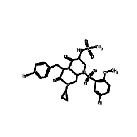 COc1ccc(Cl)cc1S(=O)(=O)N1CC(NS(C)(=O)=O)C(=O)N2C(Cc3ccc(Br)cc3)C(=O)N(C3CC3)CC21